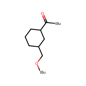 CC(C)(C)OCC1CCCC(C(=O)C(C)(C)C)C1